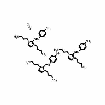 NCCCn1cc[n+](CCCN)c1N=Nc1ccc(N)cc1.NCCCn1cc[n+](CCCN)c1N=Nc1ccc(N)cc1.NCCCn1cc[n+](CCCN)c1N=Nc1ccc(N)cc1.[Cl-].[Cl-].[Cl-]